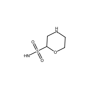 [NH]S(=O)(=O)C1CNCCO1